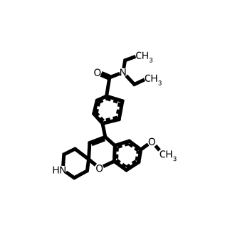 CCN(CC)C(=O)c1ccc(C2=CC3(CCNCC3)Oc3ccc(OC)cc32)cc1